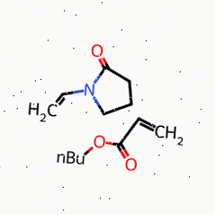 C=CC(=O)OCCCC.C=CN1CCCC1=O